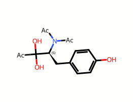 CC(=O)N(C(C)=O)[C@@H](Cc1ccc(O)cc1)C(O)(O)C(C)=O